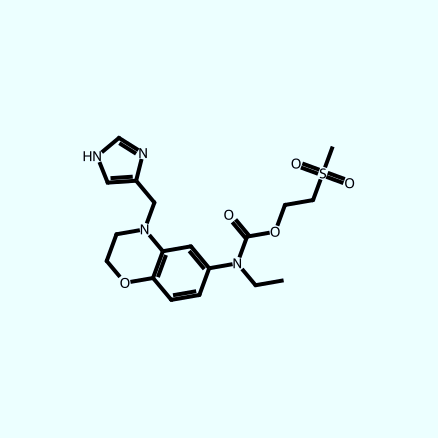 CCN(C(=O)OCCS(C)(=O)=O)c1ccc2c(c1)N(Cc1c[nH]cn1)CCO2